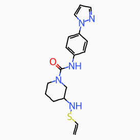 C=CSNC1CCCN(C(=O)Nc2ccc(-n3cccn3)cc2)C1